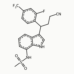 CS(=O)(=O)Nc1cccc2c(C(CCC#N)c3ccc(C(F)(F)F)cc3F)c[nH]c12